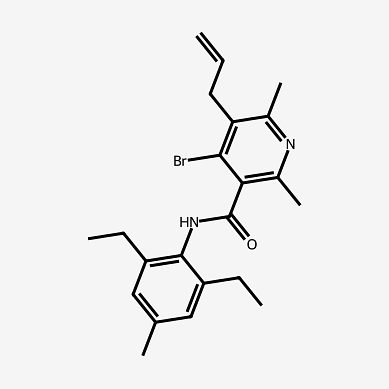 C=CCc1c(C)nc(C)c(C(=O)Nc2c(CC)cc(C)cc2CC)c1Br